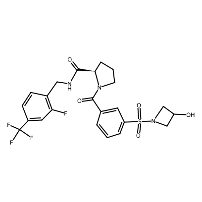 O=C(NCc1ccc(C(F)(F)F)cc1F)[C@H]1CCCN1C(=O)c1cccc(S(=O)(=O)N2CC(O)C2)c1